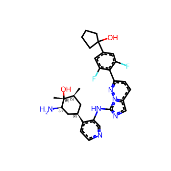 C[C@H]1C[C@@H](c2ccncc2Nc2ncc3ccc(-c4c(F)cc(C5(O)CCCC5)cc4F)nn23)C[C@@H](N)[C@]1(C)O